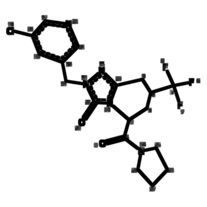 O=C(C1CC(C(F)(F)F)Cc2nn(Cc3cncc(Cl)c3)c(=O)n21)N1CCCC1